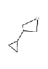 C1C[C]1C1COC1